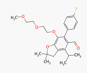 COCCOCCOc1c2c(c(C(C)C)c(C=O)c1-c1ccc(F)cc1)CC(C)(C)O2